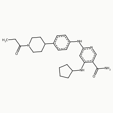 CCC(=O)N1CCC(c2ccc(Nc3cc(NC4CCCC4)c(C(N)=O)cn3)cc2)CC1